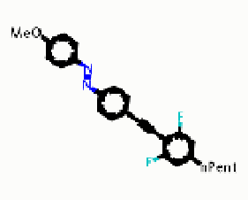 CCCCCc1cc(F)c(C#Cc2ccc(N=Nc3ccc(OC)cc3)cc2)c(F)c1